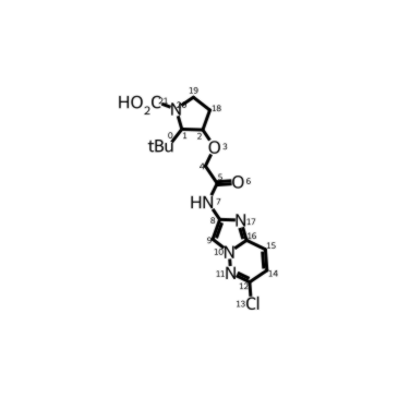 CC(C)(C)C1C(OCC(=O)Nc2cn3nc(Cl)ccc3n2)CCN1C(=O)O